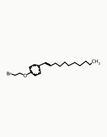 CCCCCCCCCC=Cc1ccc(OCCBr)cc1